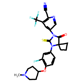 CN1CCC(Oc2ccc(N3C(=S)N(c4cnc(C#N)c(C(F)(F)F)c4)C(=O)C34CCC4)cc2F)CC1